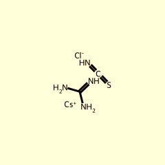 N=C(N)N.N=C=S.[Cl-].[Cs+]